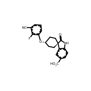 N#Cc1cccc(O[C@H]2CC[C@@]3(CC2)C(=O)Nc2ccc(C(=O)O)cc23)c1F